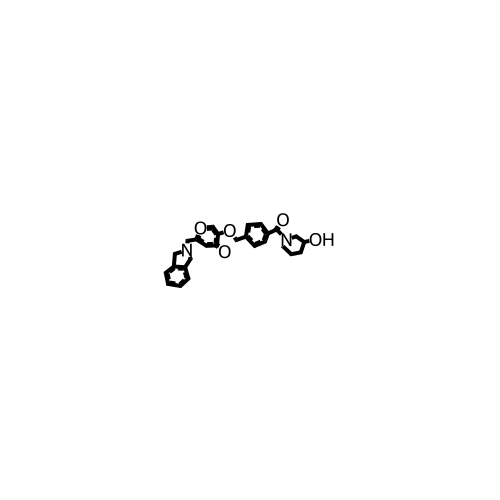 O=C(c1ccc(COc2coc(CN3Cc4ccccc4C3)cc2=O)cc1)N1CCCC(O)C1